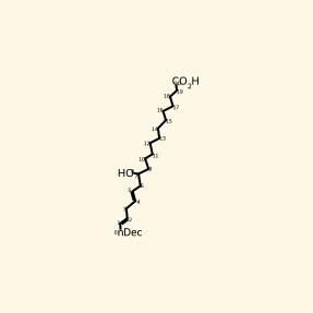 CCCCCCCCCCC=CCC=CCC(O)CCCCCCCCCCCC(=O)O